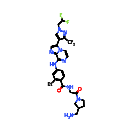 CCc1cc(Nc2nccn3c(-c4cn(CC(F)F)nc4C(F)(F)F)cnc23)ccc1C(=O)NCC(=O)N1CCC(CN)C1